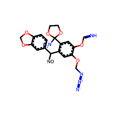 [N-]=[N+]=NCOc1cc(C(N=O)c2ccc3c(c2)OCO3)c(C2(N)OCCO2)cc1OC=N